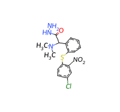 CN(C)C(C(=O)NN)c1ccccc1Sc1ccc(Cl)cc1[N+](=O)[O-]